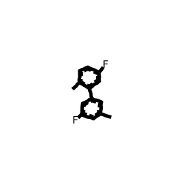 Cc1cc(F)cc(-c2cc(F)ccc2C)c1